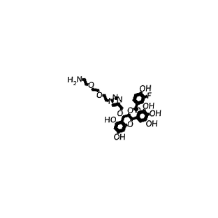 NCCOCCOCCn1cc(COC2c3c(O)cc(O)cc3OC(c3cc(O)c(O)c(O)c3)C2OC(=O)c2ccc(O)c(F)c2)nn1